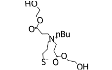 CCCC[N+](CCC[S-])(CCC(=O)OCCO)CCC(=O)OCCO